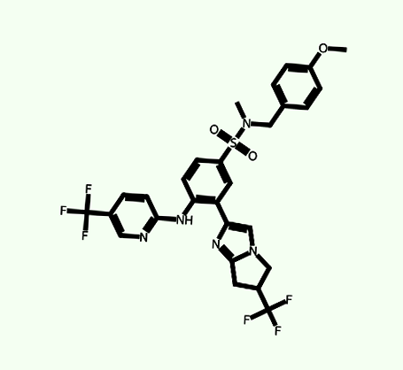 COc1ccc(CN(C)S(=O)(=O)c2ccc(Nc3ccc(C(F)(F)F)cn3)c(-c3cn4c(n3)CC(C(F)(F)F)C4)c2)cc1